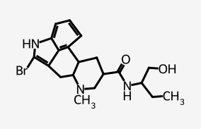 CCC(CO)NC(=O)C1CC2c3cccc4[nH]c(Br)c(c34)CC2N(C)C1